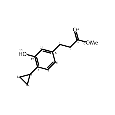 COC(=O)CCc1ccc(C2CC2)c(O)c1